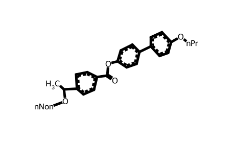 CCCCCCCCCOC(C)c1ccc(C(=O)Oc2ccc(-c3ccc(OCCC)cc3)cc2)cc1